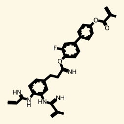 C=CC(=N)Nc1ccc(CCC(=N)Oc2ccc(-c3ccc(OC(=O)C(=C)C)cc3)cc2F)cc1NC(=N)C(=C)C